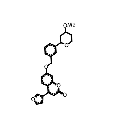 COC1CCOC(c2cccc(COc3ccc4c(-c5ccoc5)cc(=O)oc4c3)c2)C1